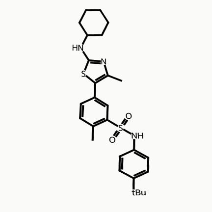 Cc1ccc(-c2sc(NC3CCCCC3)nc2C)cc1S(=O)(=O)Nc1ccc(C(C)(C)C)cc1